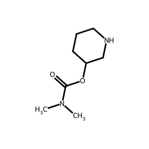 CN(C)C(=O)OC1CCCNC1